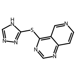 c1cc2ncnc(Sc3nnc[nH]3)c2cn1